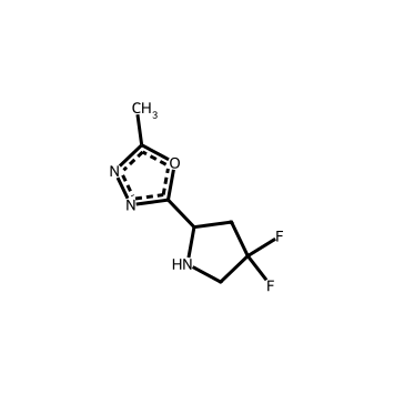 Cc1nnc(C2CC(F)(F)CN2)o1